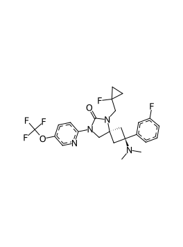 CN(C)[C@]1(c2cccc(F)c2)C[C@@]2(CN(c3ccc(OC(F)(F)F)cn3)C(=O)N2CC2(F)CC2)C1